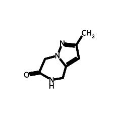 Cc1cc2n(n1)CC(=O)NC2